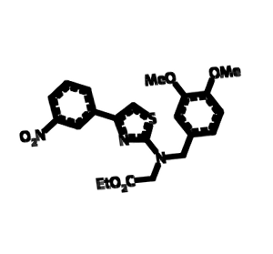 CCOC(=O)CN(Cc1ccc(OC)c(OC)c1)c1nc(-c2cccc([N+](=O)[O-])c2)cs1